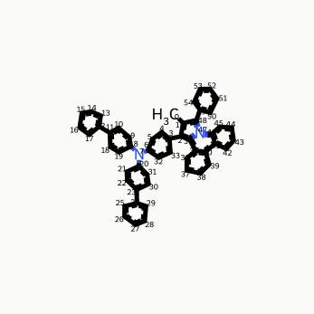 Cc1c(-c2ccc(N(c3ccc(-c4ccccc4)cc3)c3ccc(-c4ccccc4)cc3)cc2)c2c3ccccc3c3ccccc3n2c1-c1ccccc1